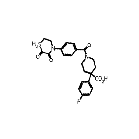 O=C1[SH4]CCN(c2ccc(C(=O)N3CCC(C(=O)O)(c4ccc(F)cc4)CC3)cc2)C1=O